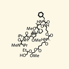 CCC(CO)OC(COC(=O)CCCC(=O)N[C@@H](C)C(=O)OCCCNC(=O)[C@H](Cc1ccccc1)NC(=O)[C@H](C)[C@@H](OC)[C@@H]1CCCN1C(=O)CC(OC)[C@H]([C@@H](C)CC)N(C)C(=O)[C@@H](NC(=O)[C@@H](NC)C(C)C)C(C)C)OC